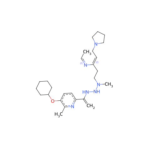 C=C(NNN(C)CCC(=C/CN1CCCC1)/N=C\C)c1ccc(OC2CCCCC2)c(C)n1